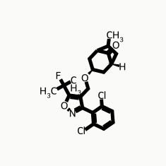 CC1C[C@@H]2C[C@@H](OCc3c(-c4c(Cl)cccc4Cl)noc3C(C)(C)F)CC1C2=O